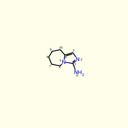 Nc1ncc2n1CCCCC2